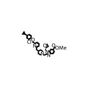 COC(=O)c1ccc2nc(CN3CCC(Cc4cccc(COc5ccc(C6CC6)cc5Cl)n4)CC3)n(C[C@@H]3CCO3)c2c1